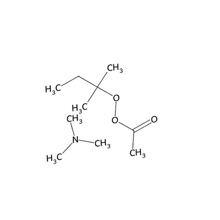 CCC(C)(C)OOC(C)=O.CN(C)C